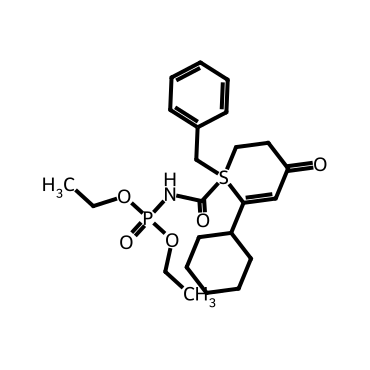 CCOP(=O)(NC(=O)S1(Cc2ccccc2)CCC(=O)C=C1C1CCCCC1)OCC